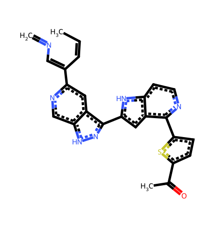 C=N/C=C(\C=C/C)c1cc2c(-c3cc4c(-c5ccc(C(C)=O)s5)nccc4[nH]3)n[nH]c2cn1